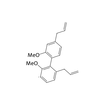 C=CCc1ccc(-c2c(OC)[c]ccc2CC=C)c(OC)c1